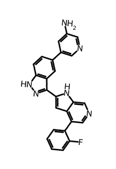 Nc1cncc(-c2ccc3[nH]nc(-c4cc5c(-c6ccccc6F)cncc5[nH]4)c3c2)c1